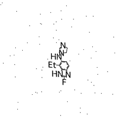 CCc1c(NN2C=NCC2)ccc2nc(F)[nH]c12